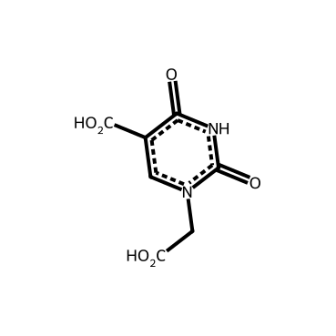 O=C(O)Cn1cc(C(=O)O)c(=O)[nH]c1=O